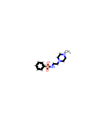 CN1CCN(CCNS(=O)(=O)c2ccccc2)CC1